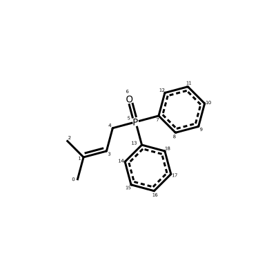 CC(C)=CCP(=O)(c1ccccc1)c1ccccc1